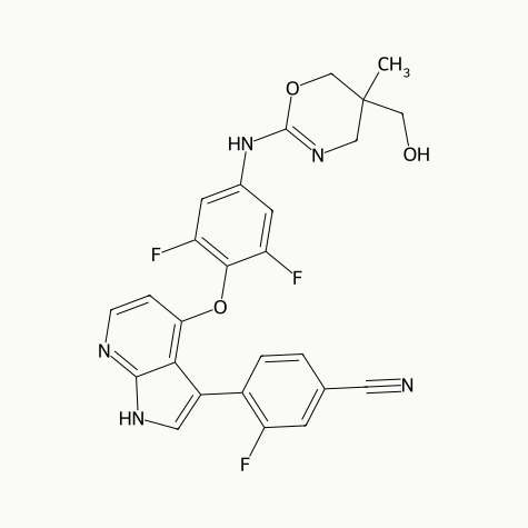 CC1(CO)CN=C(Nc2cc(F)c(Oc3ccnc4[nH]cc(-c5ccc(C#N)cc5F)c34)c(F)c2)OC1